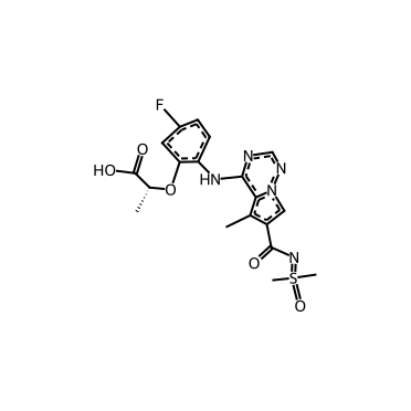 Cc1c(C(=O)N=S(C)(C)=O)cn2ncnc(Nc3ccc(F)cc3O[C@H](C)C(=O)O)c12